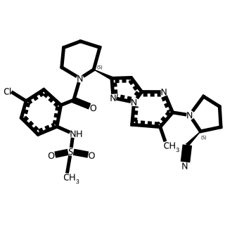 Cc1cn2nc([C@@H]3CCCCN3C(=O)c3cc(Cl)ccc3NS(C)(=O)=O)cc2nc1N1CCC[C@H]1C#N